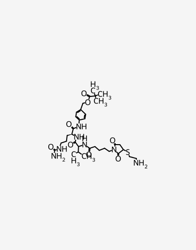 CC(C)C(NC(=O)CCCCN1C(=O)CC(SCCN)C1=O)C(=O)N[C@@H](CCCNC(N)=O)C(=O)Nc1ccc(COC(=O)C(C)(C)C)cc1